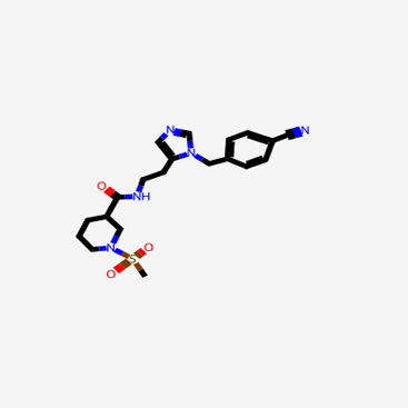 CS(=O)(=O)N1CCCC(C(=O)NCCc2cncn2Cc2ccc(C#N)cc2)C1